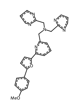 COc1ccc(-c2ccc(-c3cccc(CN(Cc4ncccn4)Cc4ncccn4)n3)o2)cc1